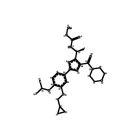 C[C@H](NC(=O)OC(C)(C)C)c1oc(-c2ccc(OC(F)F)c(OCC3CC3)c2)nc1C(=O)N1CCOCC1